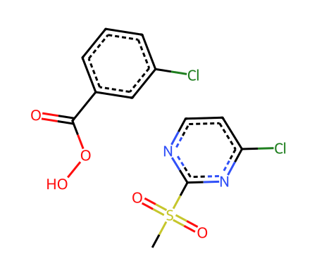 CS(=O)(=O)c1nccc(Cl)n1.O=C(OO)c1cccc(Cl)c1